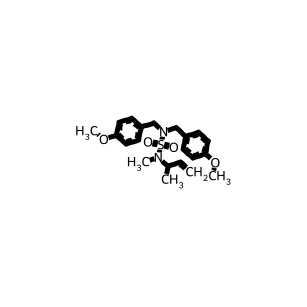 C=CC(C)N(C)S(=O)(=O)N(Cc1ccc(OC)cc1)Cc1ccc(OC)cc1